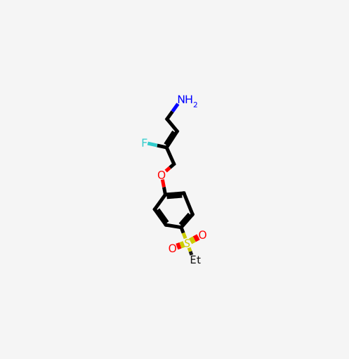 CCS(=O)(=O)c1ccc(OCC(F)=CCN)cc1